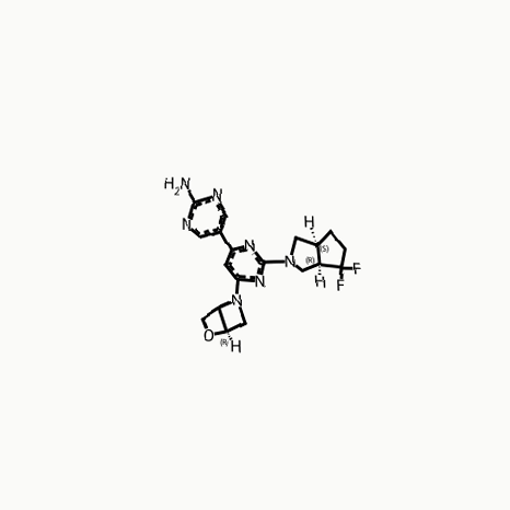 Nc1ncc(-c2cc(N3C[C@H]4OCC43)nc(N3C[C@H]4CCC(F)(F)[C@H]4C3)n2)cn1